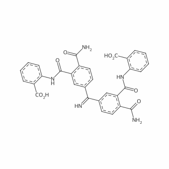 N=C(c1ccc(C(N)=O)c(C(=O)Nc2ccccc2C(=O)O)c1)c1ccc(C(N)=O)c(C(=O)Nc2ccccc2C(=O)O)c1